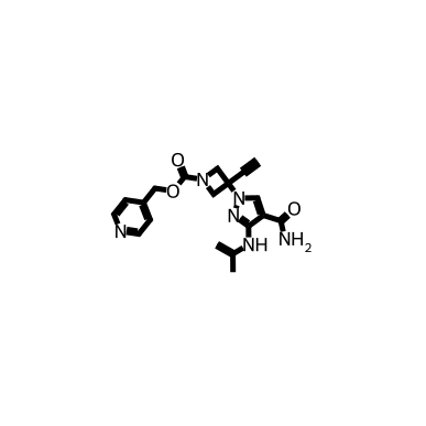 C#CC1(n2cc(C(N)=O)c(NC(=C)C)n2)CN(C(=O)OCc2ccncc2)C1